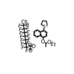 CCOC(C)Oc1ccc([S+]2CCCC2)c2ccccc12.O=S(=O)([O-])C(F)(F)C(F)(F)C(F)(F)C(F)(F)C(F)(F)C(F)(F)C(F)(F)C(F)(F)F